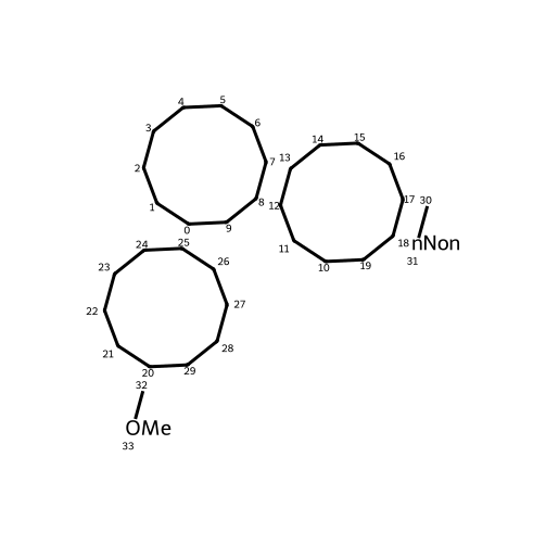 C1CCCCCCCCC1.C1CCCCCCCCC1.C1CCCCCCCCC1.CCCCCCCCCC.COC